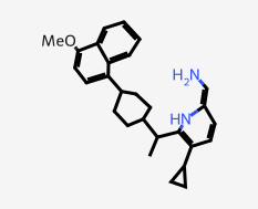 COc1ccc(C2CCC(C(C)C3=C(C4CC4)C=C/C(=C/N)N3)CC2)c2ccccc12